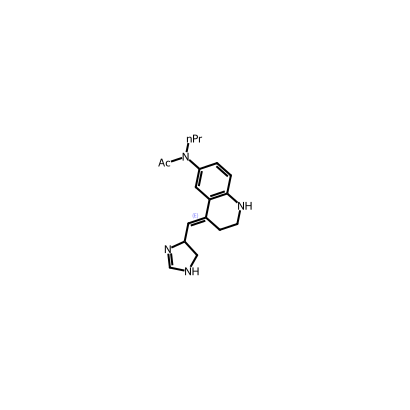 CCCN(C(C)=O)c1ccc2c(c1)/C(=C/C1CNC=N1)CCN2